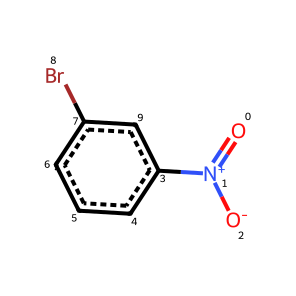 O=[N+]([O-])c1cc[c]c(Br)c1